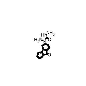 NNC(=O)N(N)c1ccc2c(c1)-c1ccccc1C2=O